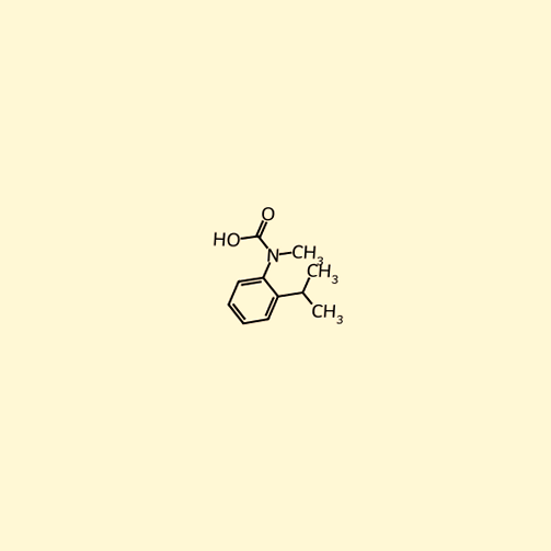 CC(C)c1ccccc1N(C)C(=O)O